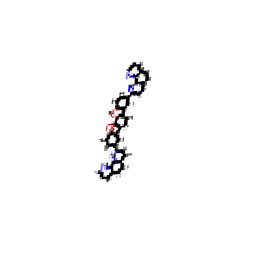 c1cnc2c(c1)ccc1ccc(-c3ccc4oc5c(ccc6c7cc(-c8ccc9ccc%10cccnc%10c9n8)ccc7oc65)c4c3)nc12